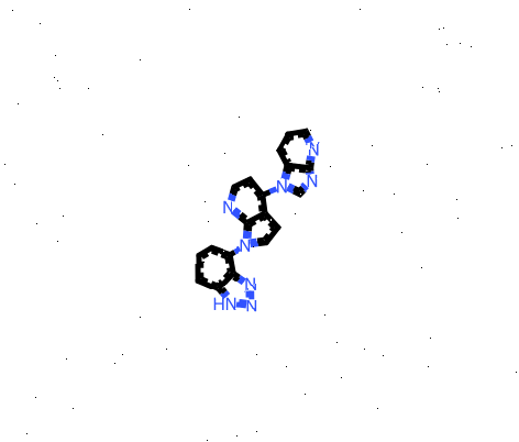 c1cc(-n2ccc3c(-n4cnc5ncccc54)ccnc32)c2nn[nH]c2c1